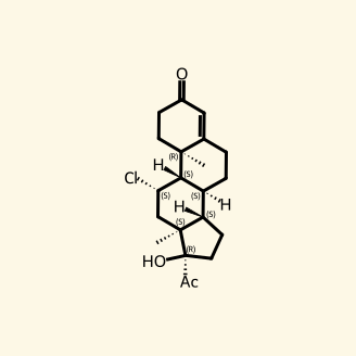 CC(=O)[C@@]1(O)CC[C@H]2[C@@H]3CCC4=CC(=O)CC[C@]4(C)[C@H]3[C@@H](Cl)C[C@@]21C